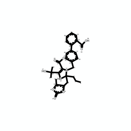 CCCC1(Cc2oc(=O)oc2C)NC(C(C)(C)O)=C(C(=O)O)N1Cc1ccc(-c2ccccc2C(=O)O)cc1